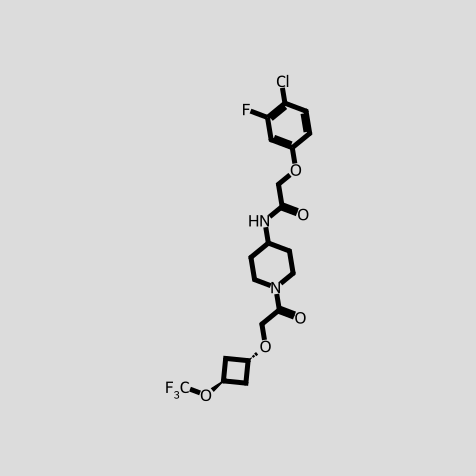 O=C(COc1ccc(Cl)c(F)c1)NC1CCN(C(=O)CO[C@H]2C[C@H](OC(F)(F)F)C2)CC1